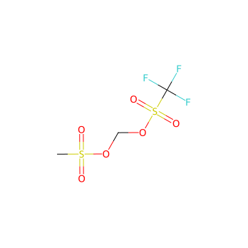 CS(=O)(=O)OCOS(=O)(=O)C(F)(F)F